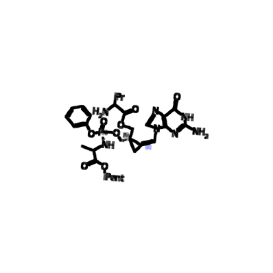 CCCC(C)OC(=O)C(C)N[P@](=O)(OC[C@@]1(COC(=O)C(N)C(C)C)C/C1=C/n1cnc2c(=O)[nH]c(N)nc21)Oc1ccccc1